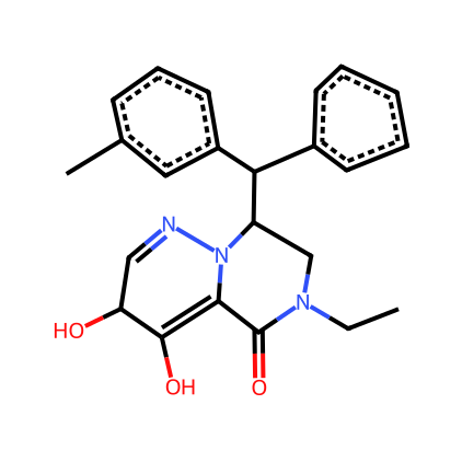 CCN1CC(C(c2ccccc2)c2cccc(C)c2)N2N=CC(O)C(O)=C2C1=O